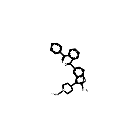 CCCCCN1CCC(c2c(N)sc3ccc(C(=O)c4ccccc4C(=O)c4ccccc4)cc23)CC1